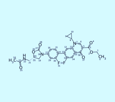 CCOC(=O)c1cn(C2CC2)c2cc(-c3ccc(N4C[C@H](CNC(C)=O)OC4=O)cc3F)c(F)cc2c1=O